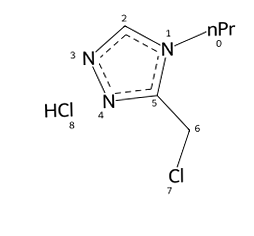 CCCn1cnnc1CCl.Cl